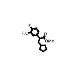 COC(=O)C(CC1CCCC1)c1ccc(F)c(C(F)(F)F)c1